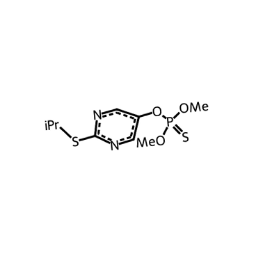 COP(=S)(OC)Oc1cnc(SC(C)C)nc1